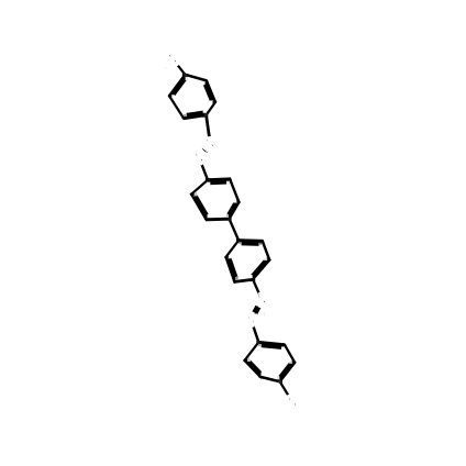 Nc1ccc(/N=N/c2ccc(-c3ccc(/N=N/c4ccc(N)cc4)cc3)cc2)cc1